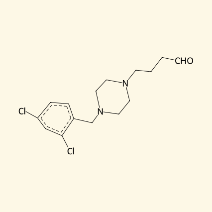 O=CCCCN1CCN(Cc2ccc(Cl)cc2Cl)CC1